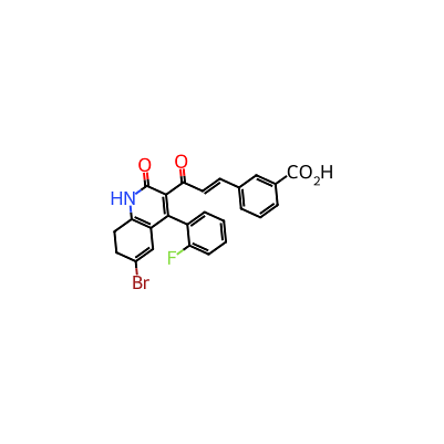 O=C(O)c1cccc(C=CC(=O)c2c(-c3ccccc3F)c3c([nH]c2=O)CCC(Br)=C3)c1